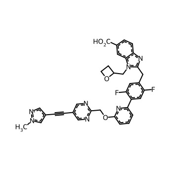 Cn1cc(C#Cc2cnc(COc3cccc(-c4cc(F)c(Cc5nc6ccc(C(=O)O)cc6n5CC5CCO5)cc4F)n3)nc2)cn1